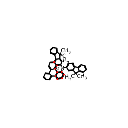 CC1(C)c2ccccc2-c2ccc(N(c3ccc4c(c3)C(C)(C)c3ccccc3-4)c3ccccc3-c3ccccc3-c3ccccc3-c3ccccc3Br)cc21